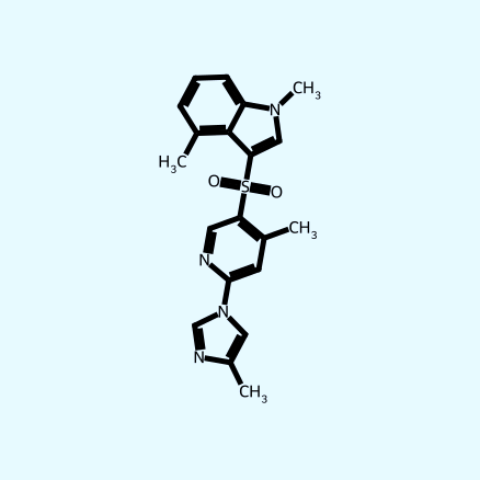 Cc1cn(-c2cc(C)c(S(=O)(=O)c3cn(C)c4cccc(C)c34)cn2)cn1